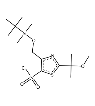 COC(C)(C)c1nc(CO[Si](C)(C)C(C)(C)C)c(S(=O)(=O)Cl)s1